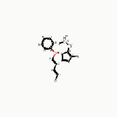 CC1=[C]([Ti][SiH](C)C)CC=C1.CC=CC=COc1ccccc1